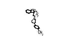 Cc1ccc(C2CCN(CCc3c(C)[nH]c4ccccc34)CC2)cc1